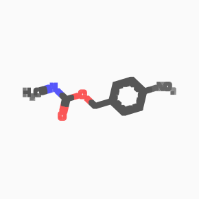 C=NC(=O)OCc1ccc([N+](=O)[O-])cc1